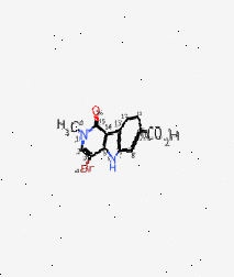 Cn1cc(Br)c2[nH]c3cc(C(=O)O)ccc3c2c1=O